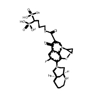 COc1c(N2C[C@@H]3CCCN[C@@H]3C2)c(F)cc2c(=O)c(C(=O)SCCCC(P(=O)(O)O)P(=O)(O)O)cn(C3CC3)c12